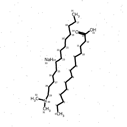 CCCCCCCCCCCCCC(=O)O.CCCCCCCCCCCCCCN(C)C.[NaH]